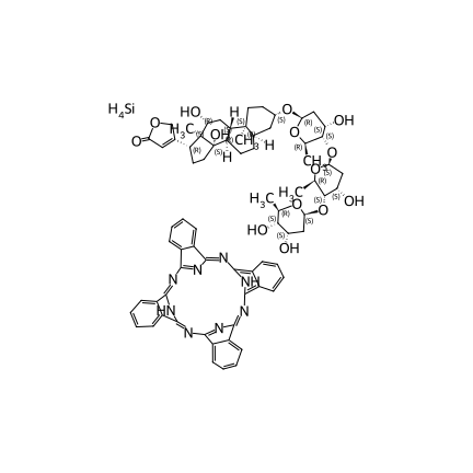 C[C@H]1O[C@@H](O[C@H]2[C@@H](O)C[C@H](O[C@H]3[C@@H](O)C[C@H](O[C@H]4CC[C@@]5(C)[C@H](CC[C@@H]6[C@@H]5C[C@@H](O)[C@]5(C)[C@@H](C7=CC(=O)OC7)CC[C@]65O)C4)O[C@@H]3C)O[C@@H]2C)C[C@H](O)[C@@H]1O.[SiH4].c1ccc2c(c1)-c1nc-2nc2[nH]c(nc3nc(nc4[nH]c(n1)c1ccccc41)-c1ccccc1-3)c1ccccc21